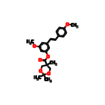 COc1ccc(/C=C/c2cc(OC)cc(OC(=O)C3(C)COC(C)(C)OC3)c2)cc1